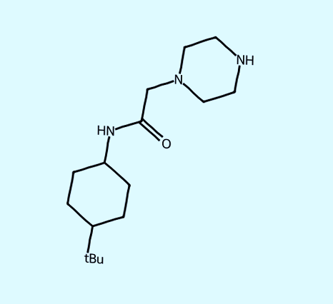 CC(C)(C)C1CCC(NC(=O)CN2CCNCC2)CC1